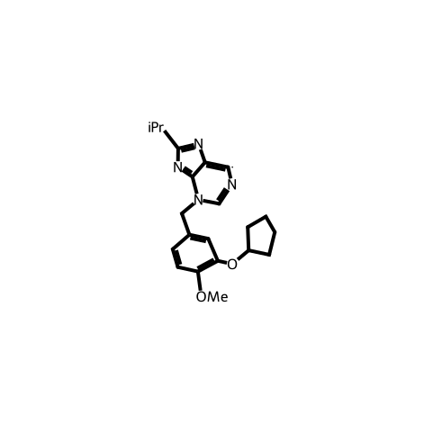 COc1ccc(Cn2cn[c]c3nc(C(C)C)nc2-3)cc1OC1CCCC1